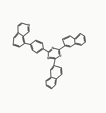 c1ccc2cc(-c3nc(-c4ccc(-c5cccc6ccncc56)cc4)nc(-c4ccc5ccccc5c4)n3)ccc2c1